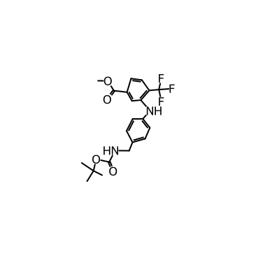 COC(=O)c1ccc(C(F)(F)F)c(Nc2ccc(CNC(=O)OC(C)(C)C)cc2)c1